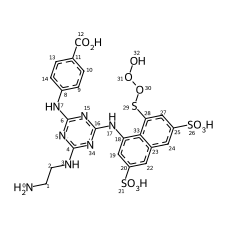 NCCNc1nc(Nc2ccc(C(=O)O)cc2)nc(Nc2cc(S(=O)(=O)O)cc3cc(S(=O)(=O)O)cc(SOOO)c23)n1